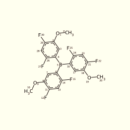 COc1cc(B(c2cc(OC)c(F)cc2F)c2cc(OC)c(F)cc2F)c(F)cc1F